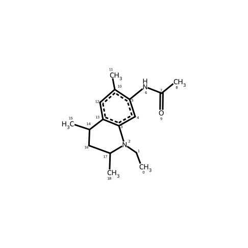 CCN1c2cc(NC(C)=O)c(C)cc2C(C)CC1C